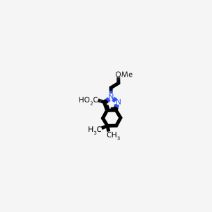 COCCn1nc2c(c1C(=O)O)CC(C)(C)CC2